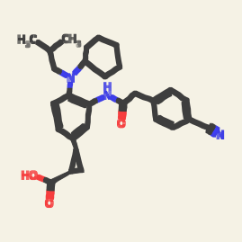 CC(C)CN(c1ccc([C@H]2C[C@H]2C(=O)O)cc1NC(=O)Cc1ccc(C#N)cc1)C1CCCCC1